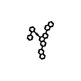 C(#Cc1cc2cc(-c3ccc4ccccc4c3)ccc2c2ccc(-c3ccc4ccccc4c3)cc12)c1ccccc1-c1ccccc1